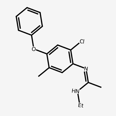 CCNC(C)=Nc1cc(C)c(Oc2ccccc2)cc1Cl